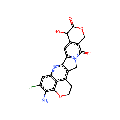 Nc1c(Cl)cc2nc3c(c4c2c1OCC4)Cn1c-3cc2c(c1=O)COC(=O)C2O